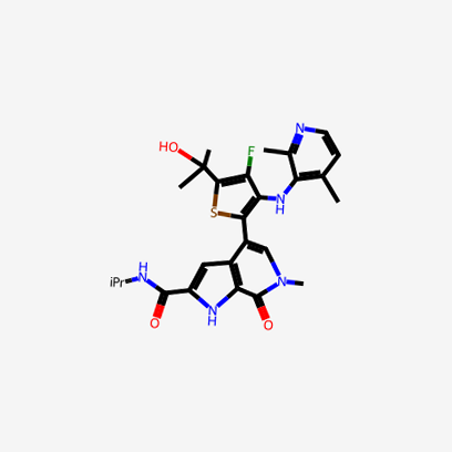 Cc1ccnc(C)c1Nc1c(-c2cn(C)c(=O)c3[nH]c(C(=O)NC(C)C)cc23)sc(C(C)(C)O)c1F